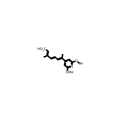 COc1cc(C(C)=CC=CC(C)=CC(=O)O)cc(OC(C)C)n1